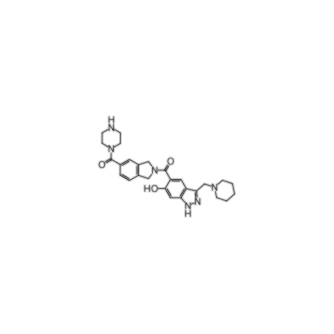 O=C(c1ccc2c(c1)CN(C(=O)c1cc3c(CN4CCCCC4)n[nH]c3cc1O)C2)N1CCNCC1